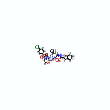 CC(C)C[C@H](NC(=O)c1cc2ccccc2s1)C(=O)NCC1CN(S(=O)(=O)c2ccc(Cl)cc2)CCO1